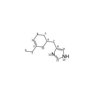 CCC1=CCCC(Cc2c[nH]cn2)C1